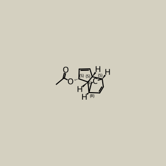 CC(=O)O[C@@H]1C=C[C@H]2[C@@H]1[C@H]1C=C[C@@H]2CC1